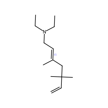 C=CC(C)(C)C/C(C)=C/CN(CC)CC